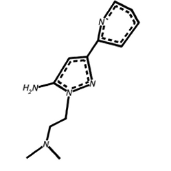 CN(C)CCn1nc(-c2ccccn2)cc1N